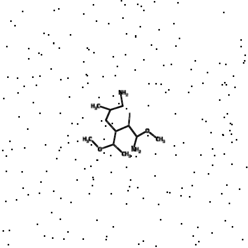 COC(C)C(CC(C)CN)C(I)C(N)OC